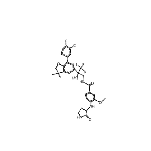 COc1cc(C(=O)NCC(O)(c2cc3c(c(-c4ccc(F)c(Cl)c4)n2)OCC3(C)C)C(F)(F)F)ccc1NC1CCNC1=O